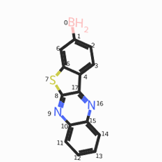 Bc1ccc2c(c1)sc1nc3ccccc3nc12